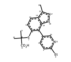 CCc1ccc(-c2c(SC(C)(C)C(=O)O)ccc3c(C)nsc23)cn1